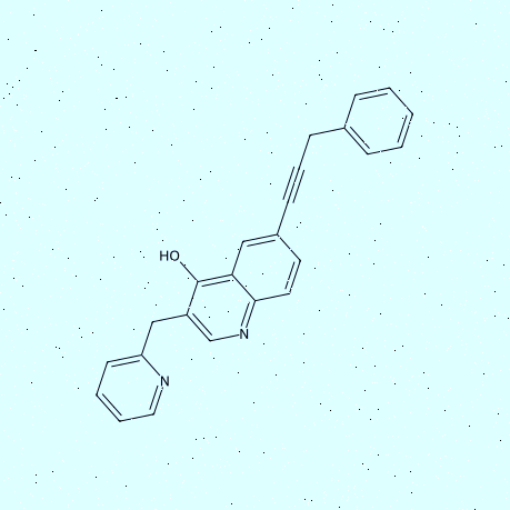 Oc1c(Cc2ccccn2)cnc2ccc(C#CCc3ccccc3)cc12